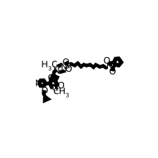 C[C@@H]1CN(S(=O)(=O)CCCCCCCCCCCCN2C(=O)c3ccccc3C2=O)CCN1Cc1cc2c(=O)n(C)cc(-c3ccncc3OCC3CC3)c2o1